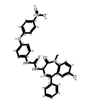 CN1C(=O)C(NC(=S)Nc2ccc(Oc3ccc([N+](=O)[O-])cc3)cc2)N=C(c2ccccc2)c2cc(Cl)ccc21